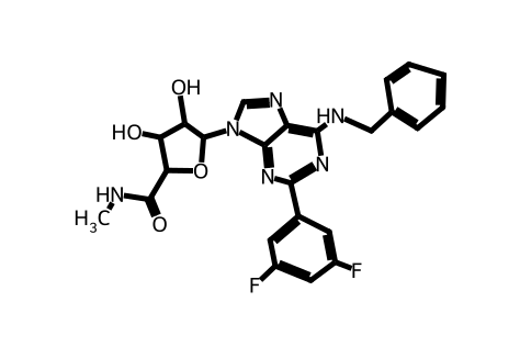 CNC(=O)C1OC(n2cnc3c(NCc4ccccc4)nc(-c4cc(F)cc(F)c4)nc32)C(O)C1O